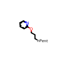 CCCCCCCCOc1ccccn1